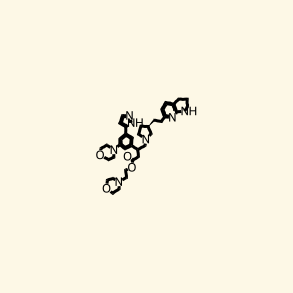 O=C(CC(CN1CC[C@@H](CCc2ccc3c(n2)NCCC3)C1)c1cc(-c2ccn[nH]2)cc(N2CCOCC2)c1)OCCN1CCOCC1